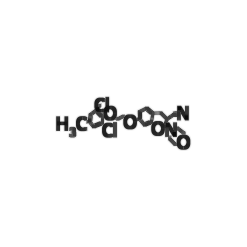 Cc1cc(Cl)c(OCCOc2ccc(CC(C#N)C(=O)N3CCOCC3)cc2)c(Cl)c1